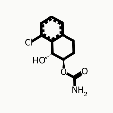 NC(=O)O[C@@H]1CCc2cccc(Cl)c2[C@H]1O